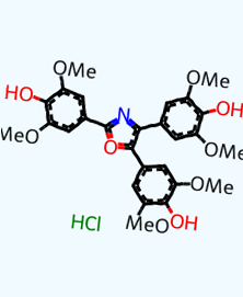 COc1cc(-c2nc(-c3cc(OC)c(O)c(OC)c3)c(-c3cc(OC)c(O)c(OC)c3)o2)cc(OC)c1O.Cl